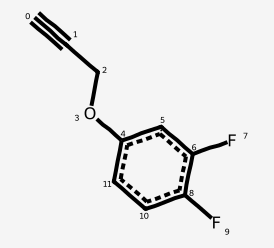 C#CCOc1[c]c(F)c(F)cc1